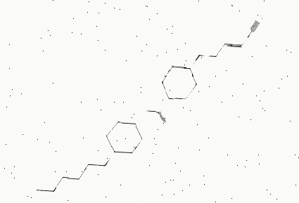 CCCCCC[C@H]1CC[C@H](OC(=O)[C@H]2CC[C@H](CCC=CC#N)CC2)CC1